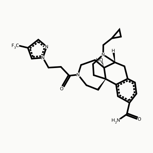 NC(=O)c1ccc2c(c1)[C@@]13CCN(C(=O)CCn4cc(C(F)(F)F)cn4)CC[C@@]1(O)[C@@H](C2)N(CC1CC1)CC3